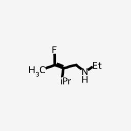 CCNC/C(=C(/C)F)C(C)C